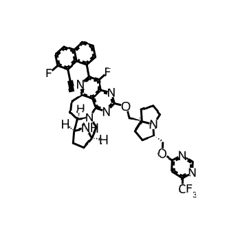 C#Cc1c(F)ccc2cccc(-c3nc4c5c(nc(OC[C@@]67CCCN6[C@H](COc6cc(C(F)(F)F)ncn6)CC7)nc5c3F)N3C[C@H]5CC[C@H](N5)[C@H]3CC4)c12